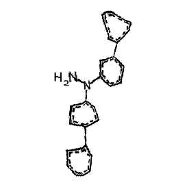 NN(c1ccc(-c2ccccc2)cc1)c1cccc(-c2ccccc2)c1